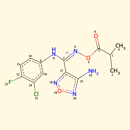 CC(C)C(=O)O/N=C(/Nc1ccc(F)c(Cl)c1)c1nonc1N